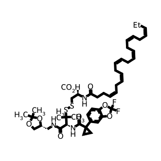 CC/C=C\C/C=C\C/C=C\C/C=C\C/C=C\C/C=C\CCC(=O)N[C@@H](CSSC(C)(C)[C@H](NC(=O)C1(c2ccc3c(c2)OC(F)(F)O3)CC1)C(=O)NC[C@@H]1COC(C)(C)O1)C(=O)O